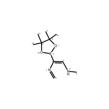 C=N/C(=C\NC)B1OC(C)(C)C(C)(C)O1